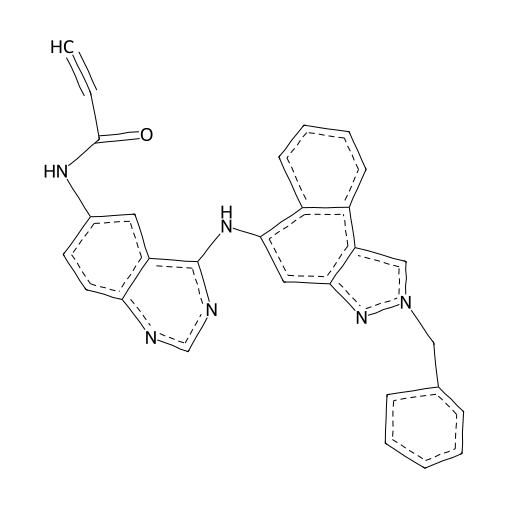 C#CC(=O)Nc1ccc2ncnc(Nc3cc4nn(Cc5ccccc5)cc4c4ccccc34)c2c1